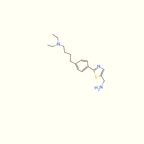 CCN(CC)CCCCc1ccc(-c2ncc(CN)s2)cc1